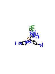 N#Cc1ccc(-c2nc(N3CCC4CNCC4CC3)sc2/C(C=N)=C/NCC(F)(F)F)cc1